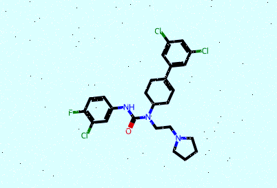 O=C(Nc1ccc(F)c(Cl)c1)N(CCN1CCCC1)C1CC=C(c2cc(Cl)cc(Cl)c2)CC1